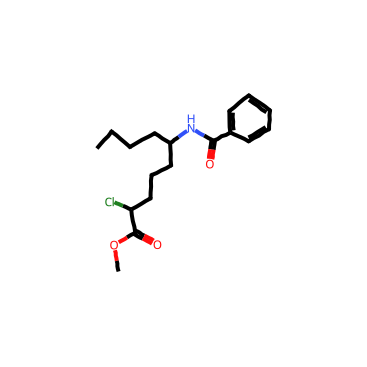 CCCCC(CCCC(Cl)C(=O)OC)NC(=O)c1ccccc1